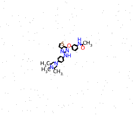 CC(=O)Nc1cccc(Oc2nc(Nc3ccc(N4CC(C)N(C)C(C)C4)cc3)nc3ccsc23)c1